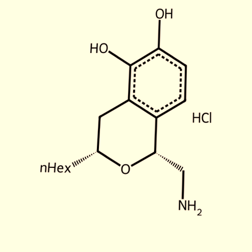 CCCCCC[C@@H]1Cc2c(ccc(O)c2O)[C@H](CN)O1.Cl